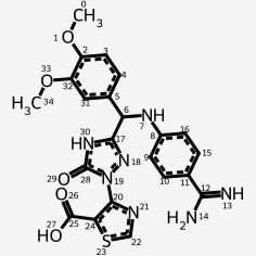 COc1ccc(C(Nc2ccc(C(=N)N)cc2)c2nn(-c3ncsc3C(=O)O)c(=O)[nH]2)cc1OC